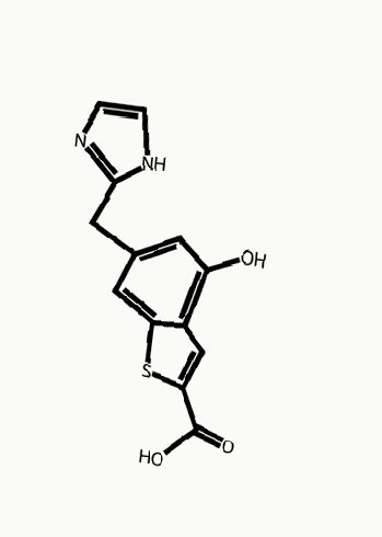 O=C(O)c1cc2c(O)cc(Cc3ncc[nH]3)cc2s1